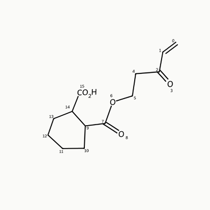 C=CC(=O)CCOC(=O)C1CCCCC1C(=O)O